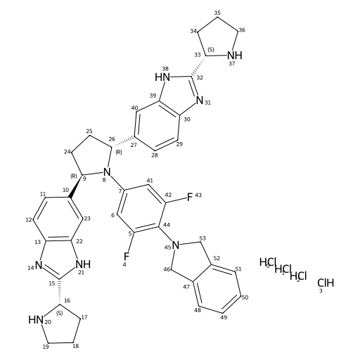 Cl.Cl.Cl.Cl.Fc1cc(N2[C@@H](c3ccc4nc([C@@H]5CCCN5)[nH]c4c3)CC[C@@H]2c2ccc3nc([C@@H]4CCCN4)[nH]c3c2)cc(F)c1N1Cc2ccccc2C1